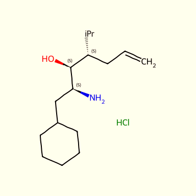 C=CC[C@@H](C(C)C)[C@H](O)[C@@H](N)CC1CCCCC1.Cl